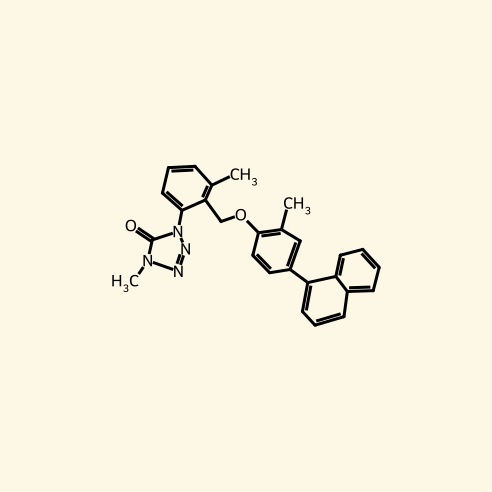 Cc1cc(-c2cccc3ccccc23)ccc1OCc1c(C)cccc1-n1nnn(C)c1=O